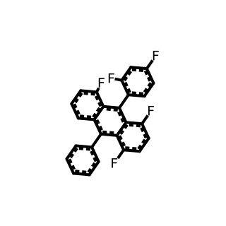 Fc1ccc(-c2c3c(F)cccc3c(-c3ccccc3)c3c(F)ccc(F)c23)c(F)c1